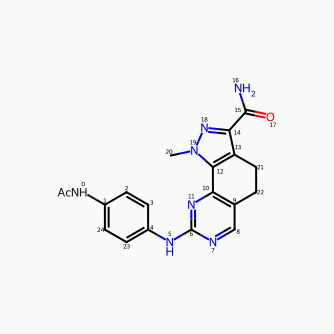 CC(=O)Nc1ccc(Nc2ncc3c(n2)-c2c(c(C(N)=O)nn2C)CC3)cc1